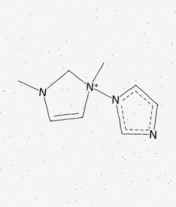 CN1C=C[N+](C)(n2ccnc2)C1